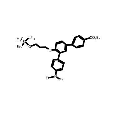 CCOC(=O)c1ccc(-c2ccc(OCCCO[Si](C)(C)C(C)(C)C)c(-c3ccc(N(CC)CC)cc3)c2)cc1